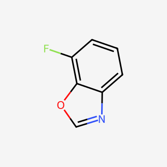 Fc1cccc2ncoc12